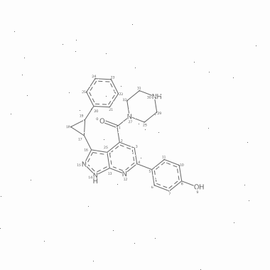 O=C(c1cc(-c2ccc(O)cc2)nc2[nH]nc(C3CC3c3ccccc3)c12)N1CCNCC1